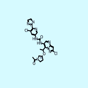 CC(=O)N1CC[C@@H](OC(C)c2c(NC(=O)Nc3cnc(-n4nccn4)c(Cl)c3)cnc3cc(Cl)nn23)C1